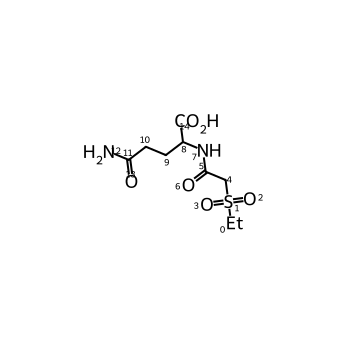 CCS(=O)(=O)CC(=O)NC(CCC(N)=O)C(=O)O